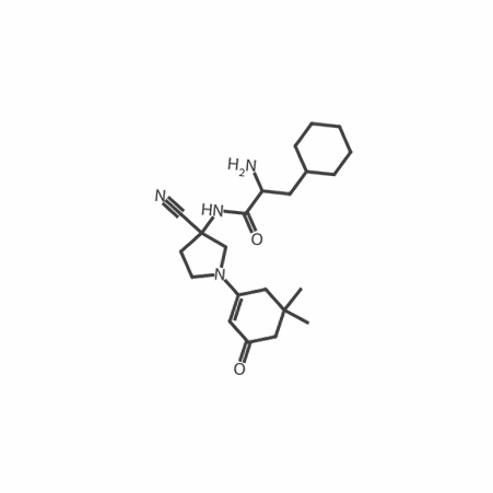 CC1(C)CC(=O)C=C(N2CCC(C#N)(NC(=O)C(N)CC3CCCCC3)C2)C1